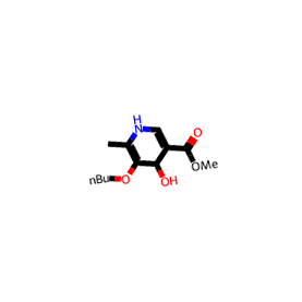 CCCCOC1=C(C)NC=C(C(=O)OC)C1O